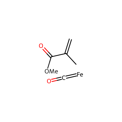 C=C(C)C(=O)OC.O=[C]=[Fe]